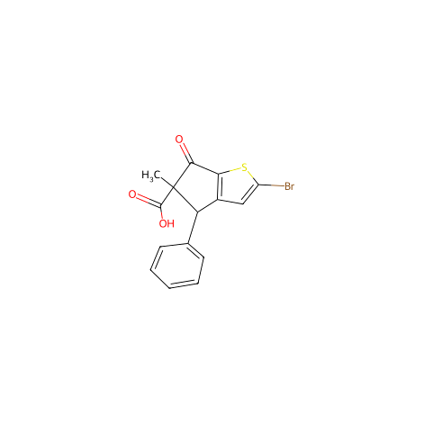 CC1(C(=O)O)C(=O)c2sc(Br)cc2C1c1ccccc1